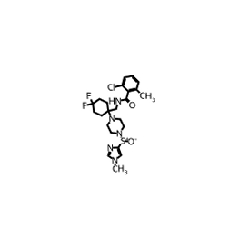 Cc1cccc(Cl)c1C(=O)NCC1(N2CCN([S+]([O-])c3cn(C)cn3)CC2)CCC(F)(F)CC1